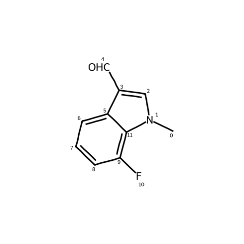 Cn1cc(C=O)c2cccc(F)c21